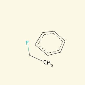 CCF.c1ccccc1